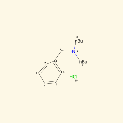 CCCCN(CCCC)Cc1ccccc1.Cl